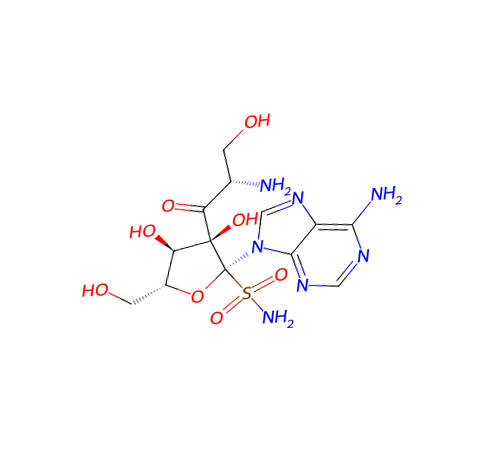 Nc1ncnc2c1ncn2[C@]1(S(N)(=O)=O)O[C@H](CO)[C@@H](O)[C@]1(O)C(=O)[C@@H](N)CO